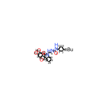 CCCCc1ccc(NC(=O)NCCN2C(=O)C3(COc4cc5c(cc43)OCO5)c3ccccc32)cc1